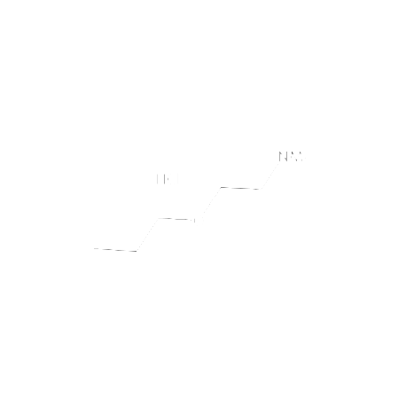 CNCCOCCF.Cl